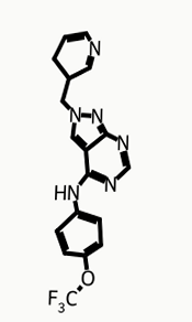 FC(F)(F)Oc1ccc(Nc2ncnc3nn(CC4C=NC=CC4)cc23)cc1